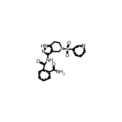 NC(=O)c1ccccc1C(=O)Nc1n[nH]c2c1CN(S(=O)(=O)c1cccnc1)CC2